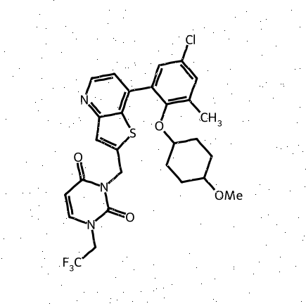 COC1CCC(Oc2c(C)cc(Cl)cc2-c2ccnc3cc(Cn4c(=O)ccn(CC(F)(F)F)c4=O)sc23)CC1